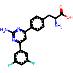 Nc1nc(-c2ccc(C[C@H](N)C(=O)O)cc2)cc(-c2cc(F)cc(F)c2)n1